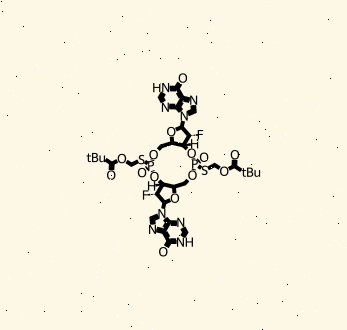 CC(C)(C)C(=O)OCSP1(=O)OCC2OC(n3cnc4c(=O)[nH]cnc43)[C@H](F)[C@@H]2OP(=O)(SCOC(=O)C(C)(C)C)OCC2OC(n3cnc4c(=O)[nH]cnc43)[C@H](F)[C@@H]2O1